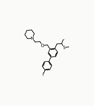 [CH2]C(Cc1ccc(-c2ccc(I)cc2)cc1COCCN1CCCCC1)SC